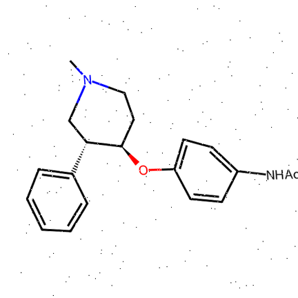 CC(=O)Nc1ccc(O[C@@H]2CCN(C)C[C@H]2c2ccccc2)cc1